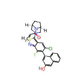 C=CC(=O)N1[C@@H]2CC[C@H]1CN(c1snc3c(F)c(-c4cc(O)cc5ccccc45)c(Cl)cc13)C2